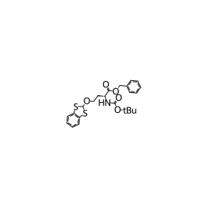 CC(C)(C)OC(=O)N[C@@H](CCOC1Sc2ccccc2S1)C(=O)OCc1ccccc1